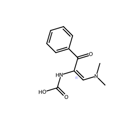 CN(C)/C=C(/NC(=O)O)C(=O)c1ccccc1